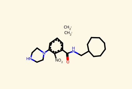 O=C(NC[C]1CCCCCCC1)c1cccc(N2CCNCC2)c1[N+](=O)[O-].[CH2].[CH2]